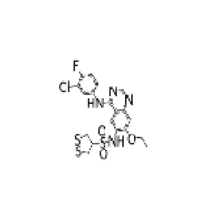 CCOc1cc2ncnc(Nc3ccc(F)c(Cl)c3)c2cc1NS(=O)(=O)C1CSSC1